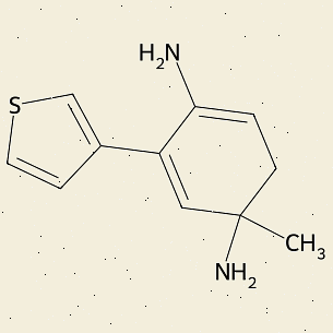 CC1(N)C=C(c2ccsc2)C(N)=CC1